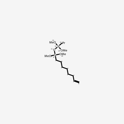 C=CCCCCCC[Si](OC)(OC)O[Si](OC)(OC)C(C)C